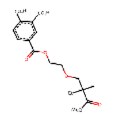 CCC(C)(COCCOC(=O)c1ccc(C(=O)O)c(C(=O)O)c1)C(=O)OC